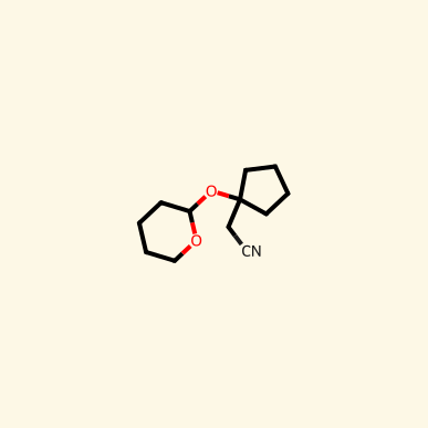 N#CCC1(OC2CCCCO2)CCCC1